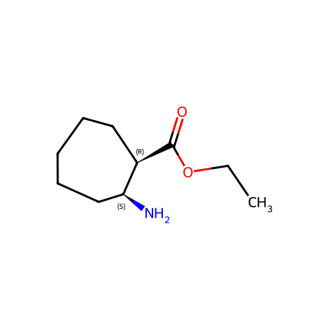 CCOC(=O)[C@@H]1CCCCC[C@@H]1N